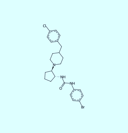 O=C(Nc1ccc(Br)cc1)N[C@@H]1CCC[C@H]1N1CCC(Cc2ccc(Cl)cc2)CC1